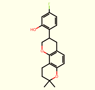 CC1(C)CCc2c(ccc3c2OCC(c2ccc(F)cc2O)C3)O1